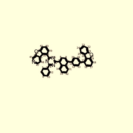 c1ccc(-c2nc(-c3ccc(-c4ccc(-c5cccc6oc7ccccc7c56)cc4)c4ccccc34)nc(-c3cccc4oc5cnccc5c34)n2)cc1